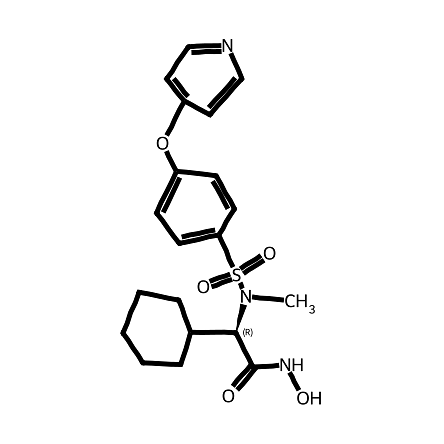 CN([C@@H](C(=O)NO)C1CCCCC1)S(=O)(=O)c1ccc(Oc2ccncc2)cc1